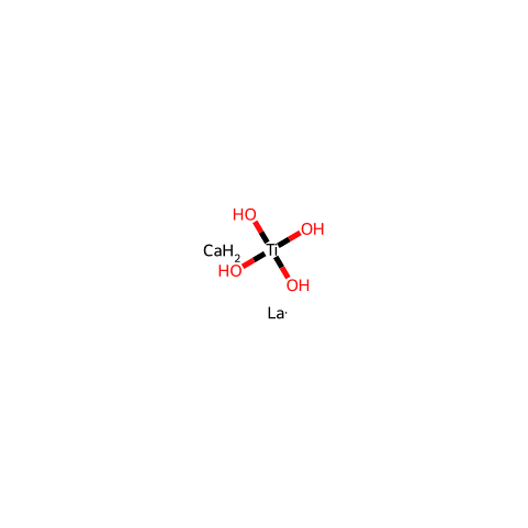 [CaH2].[La].[OH][Ti]([OH])([OH])[OH]